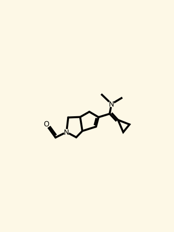 CN(C)C(C1=CC2CN(C=O)CC2C1)=C1CC1